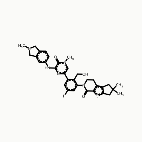 CN1Cc2ccc(Nc3nc(-c4cc(F)cc(N5CCc6c(sc7c6CC(C)(C)C7)C5=O)c4CO)cn(C)c3=O)cc2C1